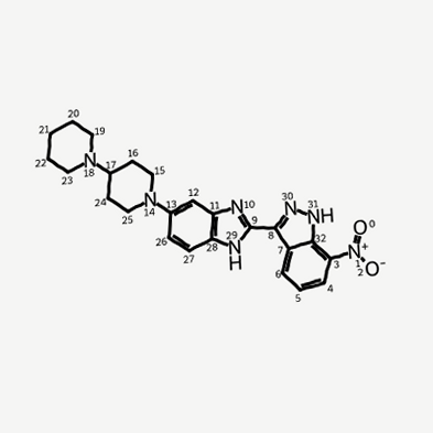 O=[N+]([O-])c1cccc2c(-c3nc4cc(N5CCC(N6CCCCC6)CC5)ccc4[nH]3)n[nH]c12